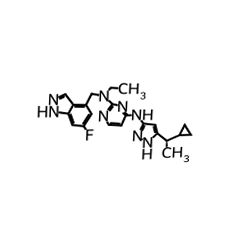 CCN(Cc1cc(F)cc2[nH]ncc12)c1nccc(Nc2cc([C@H](C)C3CC3)[nH]n2)n1